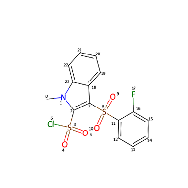 Cn1c(S(=O)(=O)Cl)c(S(=O)(=O)c2ccccc2F)c2ccccc21